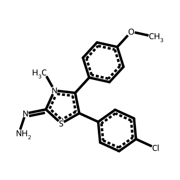 COc1ccc(-c2c(-c3ccc(Cl)cc3)s/c(=N\N)n2C)cc1